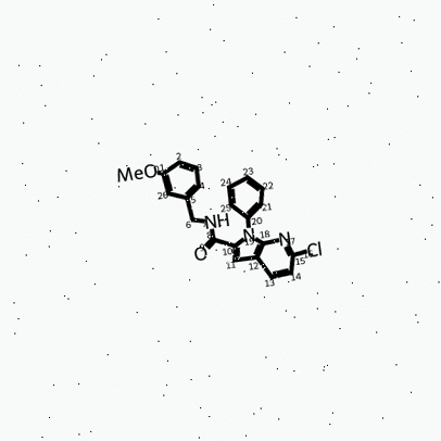 COc1cccc(CNC(=O)c2cc3ccc(Cl)nc3n2-c2ccccc2)c1